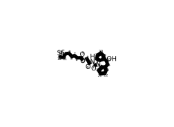 O=C(COC(=O)CCCCC1CCSS1)NC(=O)N1c2ccccc2CC(O)c2ccccc21